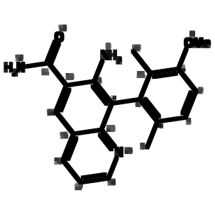 COc1ccc(C)c(-c2c(N)c(C(N)=O)cc3cccnc23)c1C